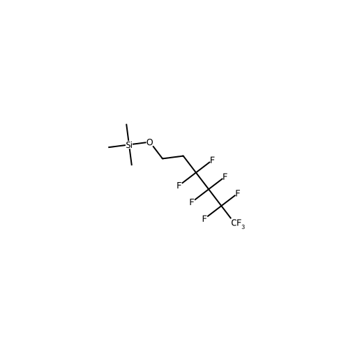 C[Si](C)(C)OCCC(F)(F)C(F)(F)C(F)(F)C(F)(F)F